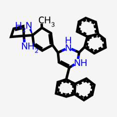 CC1C=C(C2C=C(c3cccc4ccccc34)NC(c3cccc4ccccc34)N2)C=C[C@]1(N)C1(N)C=CC1